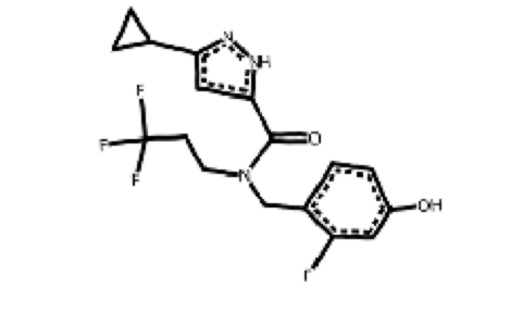 O=C(c1cc(C2CC2)n[nH]1)N(CCC(F)(F)F)Cc1ccc(O)cc1F